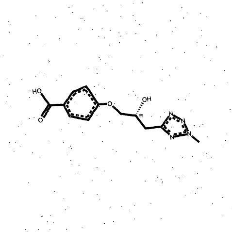 Cn1nnc(C[C@@H](O)COc2ccc(C(=O)O)cc2)n1